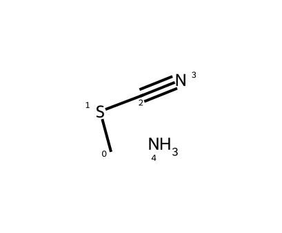 CSC#N.N